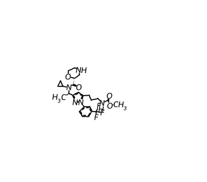 COC(=O)NCCCc1cc([C@@H](C)N(C(=O)[C@H]2CNCCO2)C2CC2)nn1-c1cccc(C(F)(F)F)c1